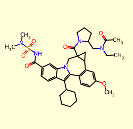 CCN(CC1CCCN1C(=O)C12CC1c1cc(OC)ccc1-c1c(C3CCCCC3)c3ccc(C(=O)NS(=O)(=O)N(C)C)cc3n1C2)C(C)=O